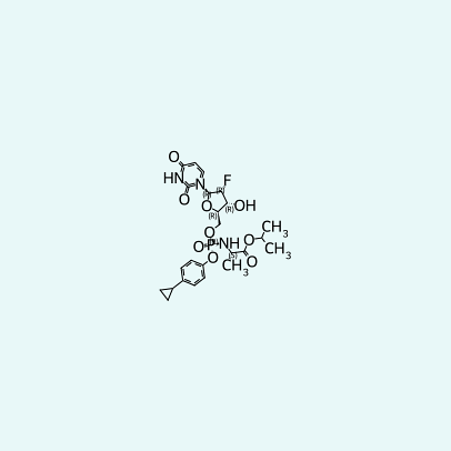 CC(C)OC(=O)[C@H](C)N[P@@](=O)(OC[C@H]1O[C@@H](n2ccc(=O)[nH]c2=O)[C@H](F)[C@@H]1O)Oc1ccc(C2CC2)cc1